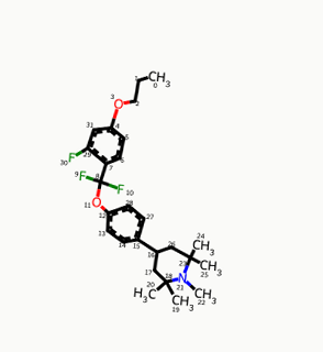 CCCOc1ccc(C(F)(F)Oc2ccc(C3CC(C)(C)N(C)C(C)(C)C3)cc2)c(F)c1